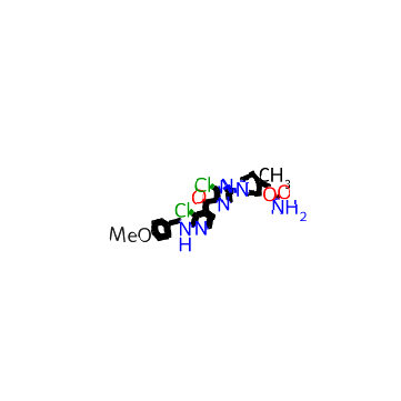 COc1ccc(CNc2nccc(C(=O)c3ncc(N4CCC(C)(COC(N)=O)CC4)nc3Cl)c2Cl)cc1